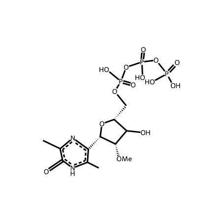 CO[C@H]1C(O)[C@@H](COP(=O)(O)OP(=O)(O)OP(=O)(O)O)O[C@H]1c1nc(C)c(=O)[nH]c1C